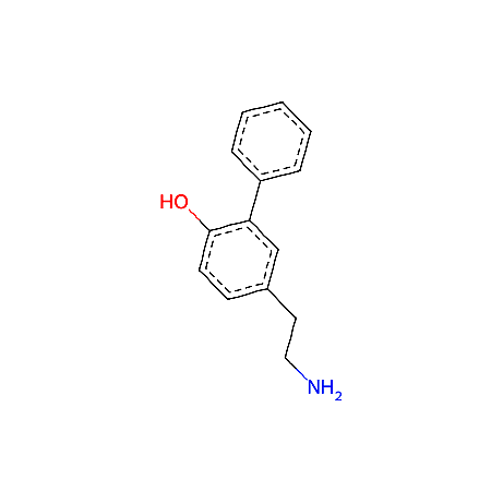 NCCc1ccc(O)c(-c2ccccc2)c1